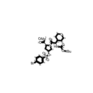 COC(=O)[C@@H]1C[C@H](OS(=O)(=O)c2ccc(Br)cc2)CN1C(=O)[C@@H](NC(=O)OC(C)(C)C)C1CCOCC1